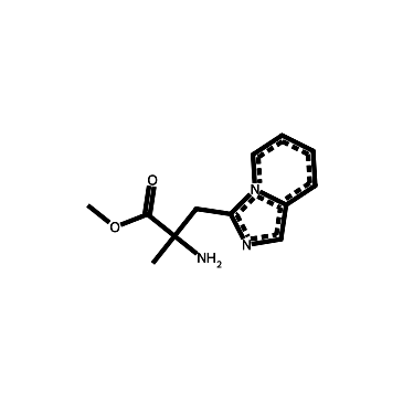 COC(=O)C(C)(N)Cc1ncc2ccccn12